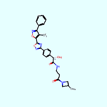 COC1CN(C(=O)CCNC(=O)[C@@H](O)c2ccc(-c3noc(-c4onc(-c5ccccc5)c4C(F)(F)F)n3)cc2)C1